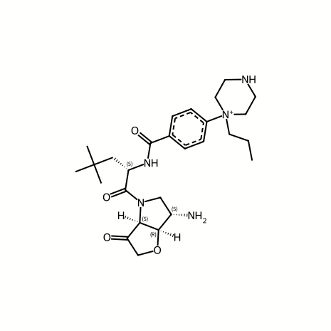 CCC[N+]1(c2ccc(C(=O)N[C@@H](CC(C)(C)C)C(=O)N3C[C@H](N)[C@H]4OCC(=O)[C@H]43)cc2)CCNCC1